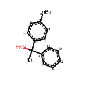 CCCCc1ccc(C(O)(CC)c2ccccc2)cc1